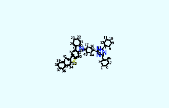 c1ccc(-c2nc(-c3ccccc3)nc(-c3ccc(-n4c5ccccc5c5cc6c(cc54)sc4cc5ccccc5cc46)cc3)n2)cc1